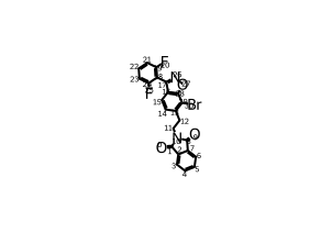 O=C1c2ccccc2C(=O)N1CCc1ccc2c(-c3c(F)cccc3F)noc2c1Br